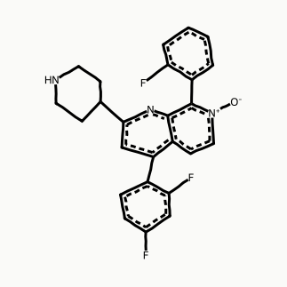 [O-][n+]1ccc2c(-c3ccc(F)cc3F)cc(C3CCNCC3)nc2c1-c1ccccc1F